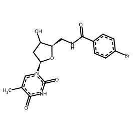 Cc1cn([C@H]2CC(O)[C@@H](CNC(=O)c3ccc(Br)cc3)O2)c(=O)[nH]c1=O